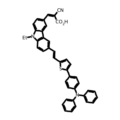 CCn1c2ccc(C=Cc3ccc(-c4ccc(N(c5ccccc5)c5ccccc5)cc4)s3)cc2c2cc(C=C(C#N)C(=O)O)ccc21